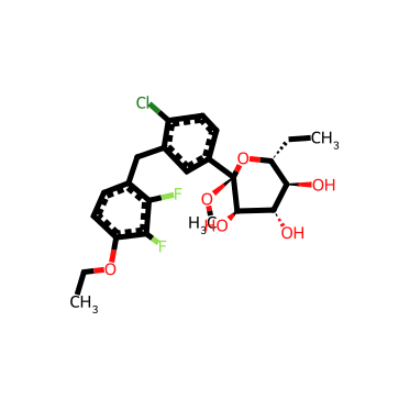 CCOc1ccc(Cc2cc([C@]3(OC)O[C@H](CC)[C@@H](O)[C@H](O)[C@H]3O)ccc2Cl)c(F)c1F